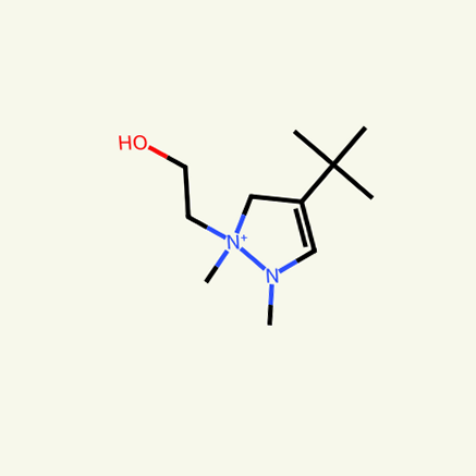 CN1C=C(C(C)(C)C)C[N+]1(C)CCO